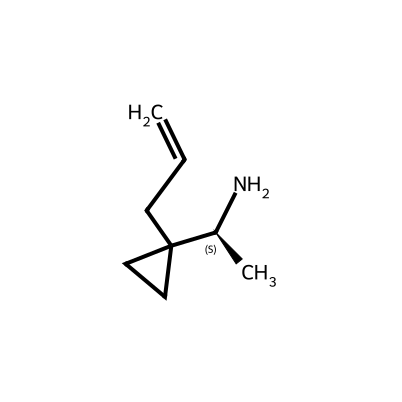 C=CCC1([C@H](C)N)CC1